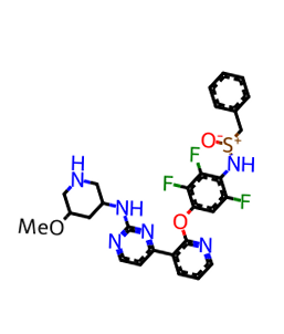 COC1CNCC(Nc2nccc(-c3cccnc3Oc3cc(F)c(N[S+]([O-])Cc4ccccc4)c(F)c3F)n2)C1